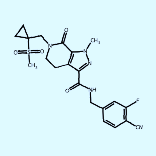 Cn1nc(C(=O)NCc2ccc(C#N)c(F)c2)c2c1C(=O)N(CC1(S(C)(=O)=O)CC1)CC2